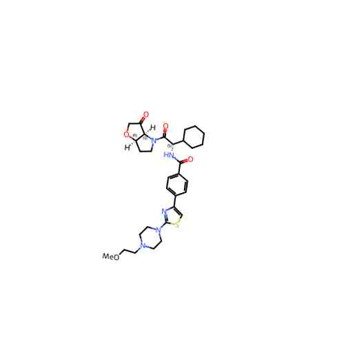 COCCN1CCN(c2nc(-c3ccc(C(=O)N[C@H](C(=O)N4CC[C@H]5OCC(=O)[C@H]54)C4CCCCC4)cc3)cs2)CC1